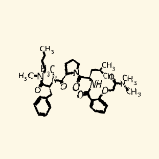 CCCCN(C)C(=O)[C@H](Cc1ccccc1)N(C)C(=O)[C@H]1CCCN1C(=O)[C@@H](CC(C)C)NC(=O)c1ccccc1OCC(=O)N(C)C